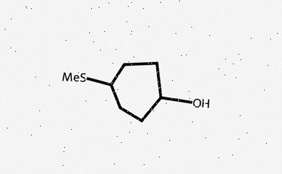 CSC1CCC(O)CC1